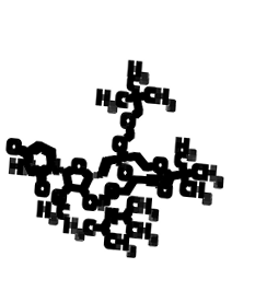 COC1C(OP(OCCC#N)N(C(C)C)C(C)C)[C@@H](/C=C/P(=O)(CCOC(=O)C(C)(C)C)OCOCC(C)(C)C)O[C@H]1n1ccc(=O)[nH]c1=O